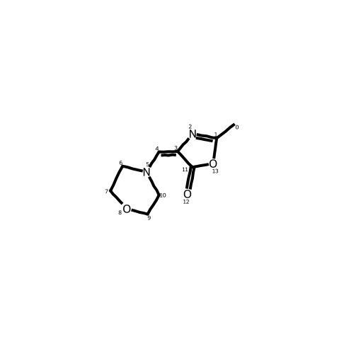 CC1=N/C(=C/N2CCOCC2)C(=O)O1